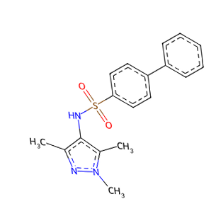 Cc1nn(C)c(C)c1NS(=O)(=O)c1ccc(-c2ccccc2)cc1